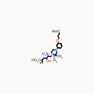 COCCCOc1cccc(N2CCN(C[C@H](N)[C@@H](O)C[C@H](C(=O)O)C(C)C)C(C)(C)C2)c1